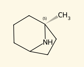 C[C@]12CCCC(CC1)N2